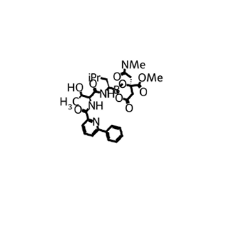 CNC(=O)C[C@]1(C(=O)OC)CC(=O)OB([C@H](CC(C)C)NC(=O)[C@@H](NC(=O)c2cccc(-c3ccccc3)n2)[C@@H](C)O)O1